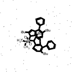 CCC(C)C1=Cc2c(ccc(C(C)(C)C)c2-c2ccccc2)[CH]1[Zr]([Cl])([Cl])([CH]1C(C(C)CC)=Cc2c1ccc(C(C)(C)C)c2-c1ccccc1)[SiH](C)C